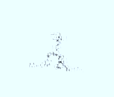 COc1cc2cc(c1)COc1ccc(CNC(C)=O)cc1NC(=O)C(CCCCCC(=O)NO)NCCC2